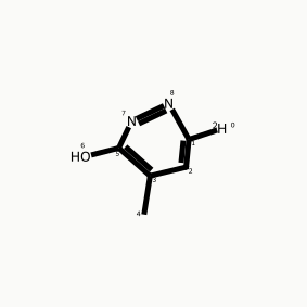 [2H]c1cc(C)c(O)nn1